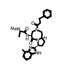 CN[C@@H](C)C(=O)N[C@H]1CN(C(=O)CCc2ccccc2)CC[C@H]2CC[C@@H](c3nc4c(C)cccc4[nH]3)N2C1=O